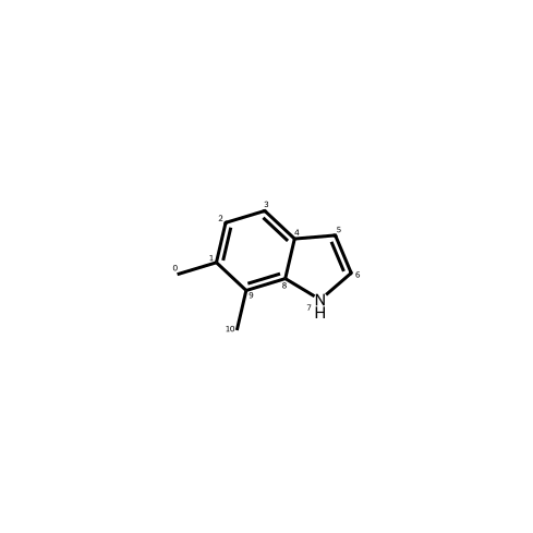 Cc1ccc2cc[nH]c2c1C